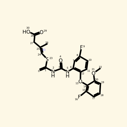 C=C(NC(=O)Nc1cc(F)ccc1Oc1c(F)cccc1OC)S/C=C(\C)CC(=O)O